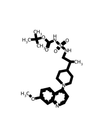 COc1ccc2c(N3CCC(C(C)CNS(=O)(=O)NC(=O)OC(C)(C)C)CC3)ccnc2c1